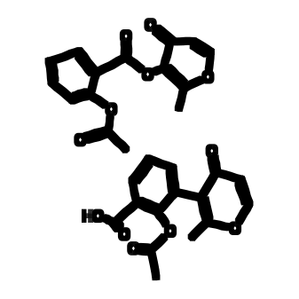 CC(=O)Oc1c(C(=O)O)cccc1-c1c(C)occc1=O.CC(=O)Oc1ccccc1C(=O)Oc1c(C)occc1=O